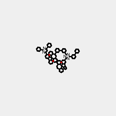 C1=Cc2ccccc2C2(c3ccccc31)c1ccccc1-c1cc(-c3nc(-c4cccc(-c5ccccc5)c4)nc(-c4cccc(-c5cccc(C6=Cc7ccccc7C7(c8ccccc86)c6ccccc6-c6ccc(-c8cc(-c9ccccc9)nc(-c9ccccc9)n8)cc67)c5)c4)n3)ccc12